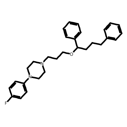 Fc1ccc(N2CCN(CCCOC(CCCc3ccccc3)c3ccccc3)CC2)cc1